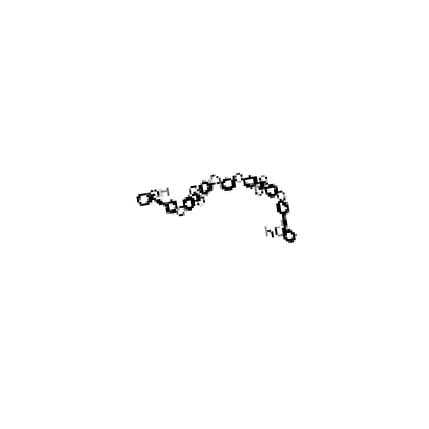 O=S(=O)(c1ccc(Oc2ccc(C#CC3(O)CCCCC3)cc2)cc1)c1ccc(Oc2cccc(Oc3ccc(S(=O)(=O)c4ccc(Oc5ccc(C#CC6(O)CCCCC6)cc5)cc4)cc3)c2)cc1